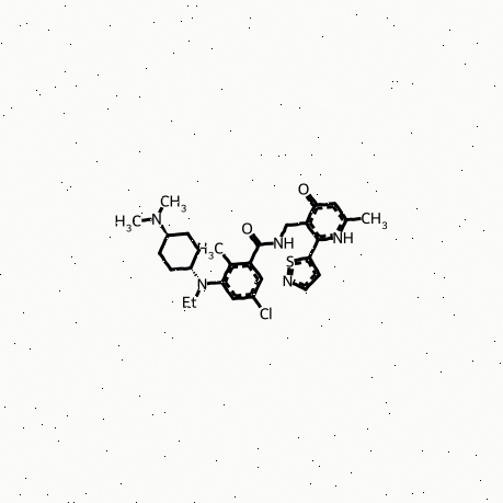 CCN(c1cc(Cl)cc(C(=O)NCc2c(-c3ccns3)[nH]c(C)cc2=O)c1C)[C@H]1CC[C@H](N(C)C)CC1